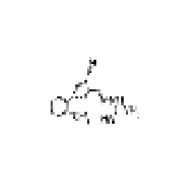 Cc1ccccc1-n1cc(C#N)c(C=NNC(=N)N)c1